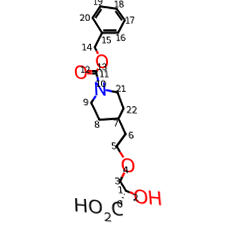 O=C(O)[C@@H](O)COCCC1CCN(C(=O)OCc2ccccc2)CC1